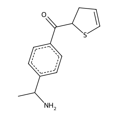 CC(N)c1ccc(C(=O)C2CC=CS2)cc1